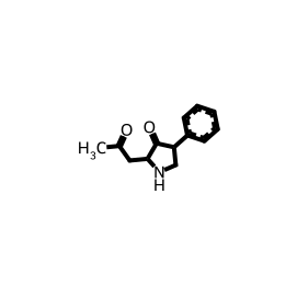 CC(=O)CC1NCC(c2ccccc2)C1=O